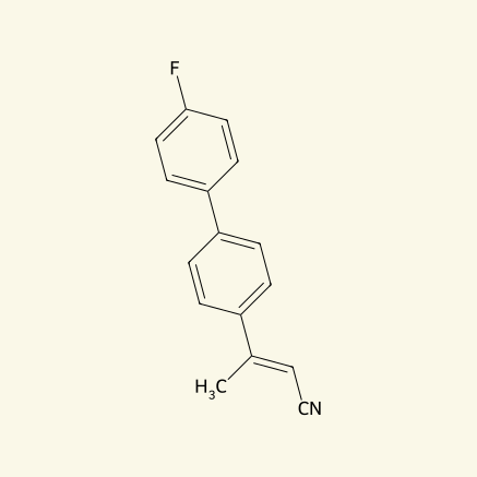 CC(=CC#N)c1ccc(-c2ccc(F)cc2)cc1